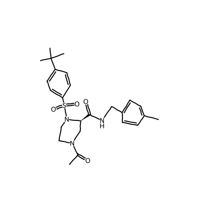 CC(=O)N1CCN(S(=O)(=O)c2ccc(C(C)(C)C)cc2)[C@@H](C(=O)NCc2ccc(C)cc2)C1